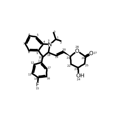 CC(C)N1c2ccccc2C(c2ccc(F)cc2)C1/C=C/[C@@H]1CC(O)CC(=O)O1